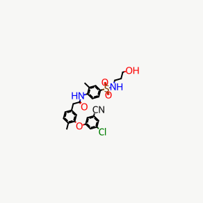 Cc1cc(S(=O)(=O)NCCCO)ccc1NC(=O)Cc1ccc(C)c(Oc2cc(Cl)cc(C#N)c2)c1